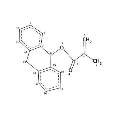 C=C(C)C(=O)OC1c2ccccc2Cc2ccccc21